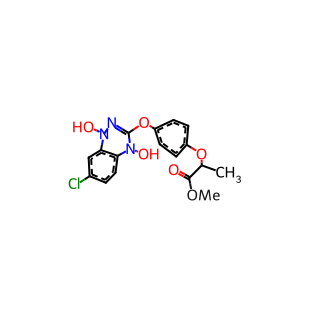 COC(=O)C(C)Oc1ccc(OC2=NN(O)c3cc(Cl)ccc3N2O)cc1